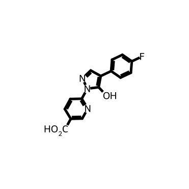 O=C(O)c1ccc(-n2ncc(-c3ccc(F)cc3)c2O)nc1